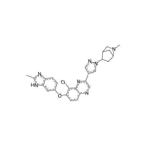 Cc1nc2ccc(Oc3ccc4ncc(-c5cnn(C6CC7CC6CN7C)c5)nc4c3Cl)cc2[nH]1